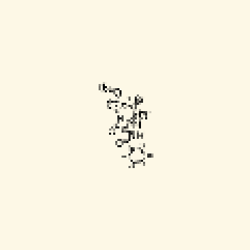 CC(C)(C)OC(=O)C1(C)CN2C(=O)C(NC(=O)c3ccccc3)[C@H]2[S+]([O-])C1Br